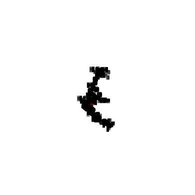 CNC(=O)[C@]12C[C@H]1[C@@](C)(c1cc(/C=C(\F)c3cnc(OCC(F)(F)C(F)F)cn3)ccc1F)N=C(OC(=O)NCOCC[Si](C)(C)C)S2